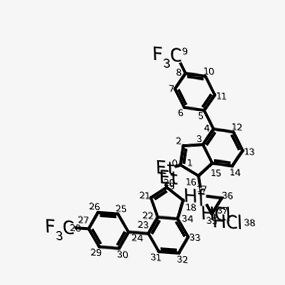 CCC1=Cc2c(-c3ccc(C(F)(F)F)cc3)cccc2[CH]1[Hf]1([CH]2C(CC)=Cc3c(-c4ccc(C(F)(F)F)cc4)cccc32)[CH2][CH2]1.Cl.Cl